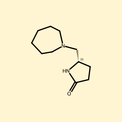 O=C1CC[C@@H](CN2CCCCCC2)N1